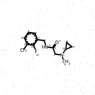 CN(CC(=O)NCc1cccc(Cl)c1F)C1CC1